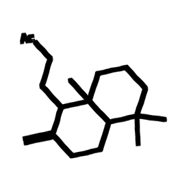 C=C1CCC2C(C)(C)CCCC2(C)C1CCC(C)=O